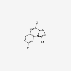 CCc1nnc2c(Cl)nc3ccc(Cl)cc3n12